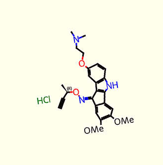 C#C[C@@H](C)ON=C1c2cc(OC)c(OC)cc2-c2[nH]c3ccc(OCCN(C)C)cc3c21.Cl